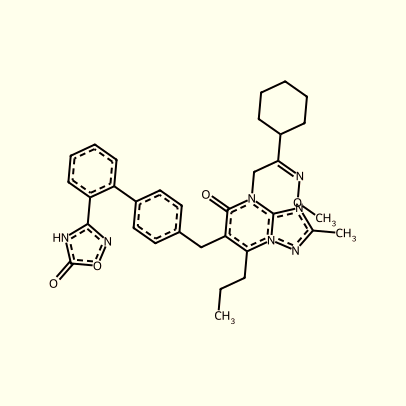 CCCc1c(Cc2ccc(-c3ccccc3-c3noc(=O)[nH]3)cc2)c(=O)n(C/C(=N\OC)C2CCCCC2)c2nc(C)nn12